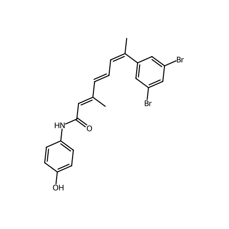 C/C(=C/C=C/C(C)=C/C(=O)Nc1ccc(O)cc1)c1cc(Br)cc(Br)c1